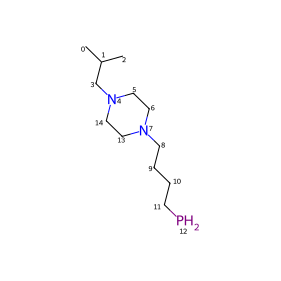 CC(C)CN1CCN(CCCCP)CC1